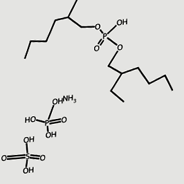 CCCCC(CC)COP(=O)(O)OCC(CC)CCCC.N.O=P(O)(O)O.O=S(=O)(O)O